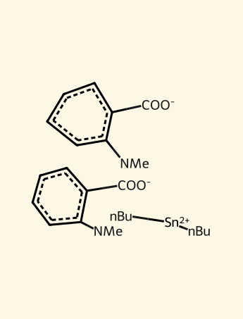 CCC[CH2][Sn+2][CH2]CCC.CNc1ccccc1C(=O)[O-].CNc1ccccc1C(=O)[O-]